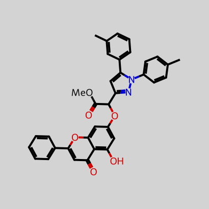 COC(=O)C(Oc1cc(O)c2c(=O)cc(-c3ccccc3)oc2c1)c1cc(-c2cccc(C)c2)n(-c2ccc(C)cc2)n1